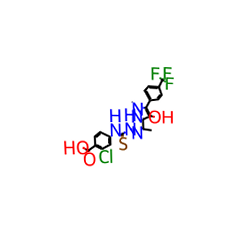 CC(=NNC(=S)Nc1ccc(C(=O)O)c(Cl)c1)c1nn(C)c(-c2ccc(C(F)(F)F)cc2)c1O